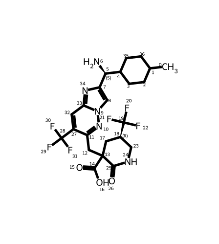 CC1CCC([C@H](N)c2cn3nc(CC4(C(=O)O)C[C@@H](C(F)(F)F)CNC4=O)c(C(F)(F)F)cc3n2)CC1